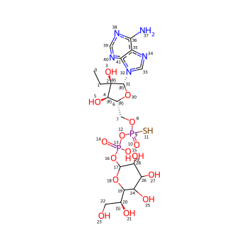 CC[C@@]1(O)[C@H](O)[C@@H](COP(=O)(S)OP(=O)(O)OC2OC([C@@H](O)CO)C(O)C(O)C2O)O[C@H]1n1cnc2c(N)ncnc21